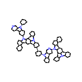 c1ccc(-n2c3ccc(-n4c5ccc6ccccc6c5c5cc6c7cc(-c8cccc(-n9c%10ccccc%10c%10cc(-n%11c%12ccc%13ccccc%13c%12c%12cc%13c%14ccccc%14n%14c%15ccccc%15c(c%12%11)c%13%14)ncc%109)c8)ccc7n7c8ccccc8c(c54)c67)cc3c3ccncc32)cc1